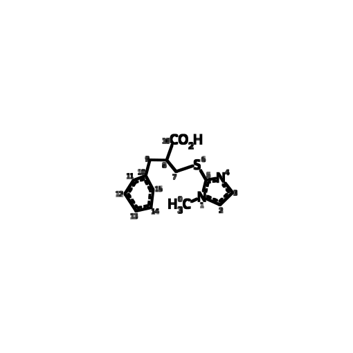 Cn1ccnc1SCC(Cc1ccccc1)C(=O)O